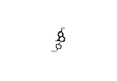 O=C(O)C1CCC(n2ccc3cc(O)ccc3c2=O)CC1